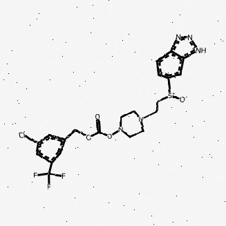 O=C(OCc1cc(Cl)cc(C(F)(F)F)c1)ON1CCN(CC[S+]([O-])c2ccc3nn[nH]c3c2)CC1